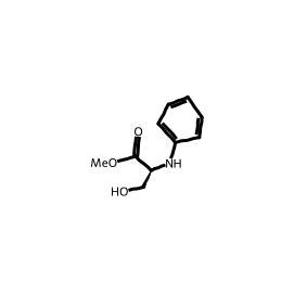 COC(=O)[C@H](CO)Nc1ccccc1